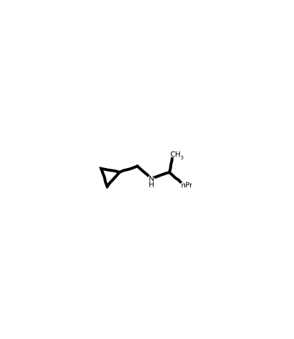 CCCC(C)NCC1CC1